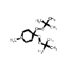 CN1CCC(OOC(C)(C)C)(OOC(C)(C)C)CC1